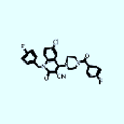 N#Cc1c(N2CCN(C(=O)c3ccc(F)cc3)CC2)c2cc(Cl)ccc2n(Cc2ccc(F)cc2)c1=O